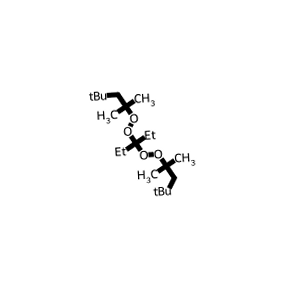 CCC(CC)(OOC(C)(C)CC(C)(C)C)OOC(C)(C)CC(C)(C)C